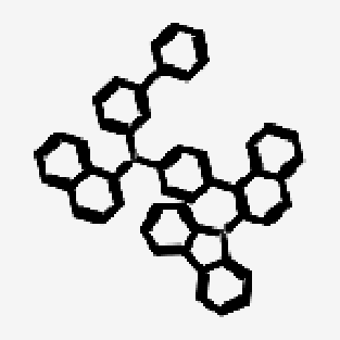 c1ccc(-c2cccc(N(c3ccc(-c4c(-n5c6ccccc6c6ccccc65)ccc5ccccc45)cc3)c3cccc4ccccc34)c2)cc1